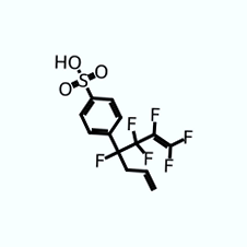 C=CCC(F)(c1ccc(S(=O)(=O)O)cc1)C(F)(F)C(F)=C(F)F